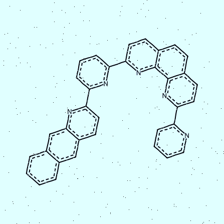 c1ccc(-c2ccc3ccc4ccc(-c5cccc(-c6ccc7cc8ccccc8cc7n6)n5)nc4c3n2)nc1